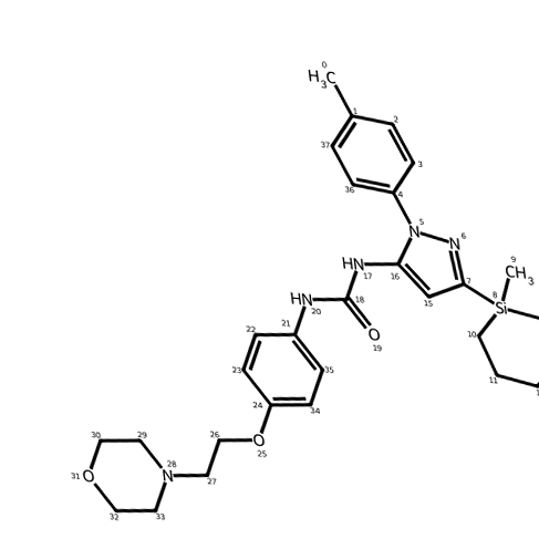 Cc1ccc(-n2nc([Si]3(C)CCCCC3)cc2NC(=O)Nc2ccc(OCCN3CCOCC3)cc2)cc1